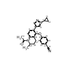 CC(=O)N1c2ccc(-c3cnn(C4CC4)c3)c(Oc3ccc(C#N)cc3)c2CCC1C